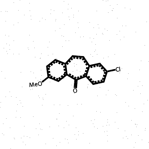 COc1ccc2ccc3cc(Cl)ccc3c(=O)c2c1